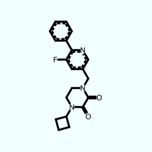 O=C1C(=O)N(C2CCC2)CCN1Cc1cnc(-c2ccccc2)c(F)c1